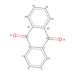 O=C1c2[c]cc[c]c2C(=O)c2ccccc21